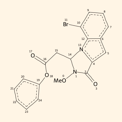 CON1C(=O)c2cc3cccc(Br)c3n2C1CC(=O)Oc1ccccc1